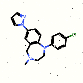 CN1CCN(c2ccc(Cl)cc2)c2ccc(-n3cccn3)cc2C1